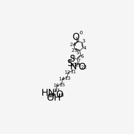 COc1ccc(/C=C2\SSN(CCCCCCC(=O)NO)C2=O)cc1